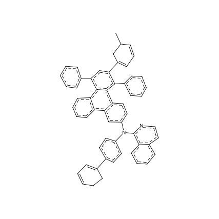 CC1C=CC=C(c2cc(-c3ccccc3)c3c4ccccc4c4cc(N(c5ccc(C6=CC=CCC6)cc5)c5nccc6ccccc56)ccc4c3c2-c2ccccc2)C1